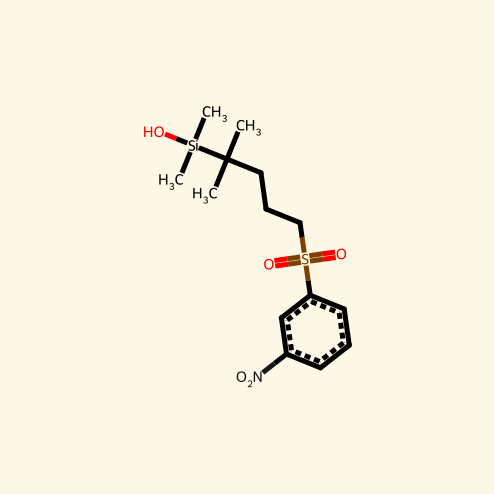 CC(C)(CCCS(=O)(=O)c1cccc([N+](=O)[O-])c1)[Si](C)(C)O